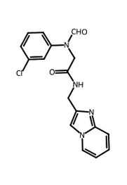 O=CN(CC(=O)NCc1cn2ccccc2n1)c1cccc(Cl)c1